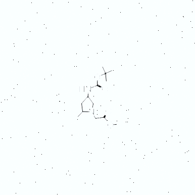 COC(=O)CN1CC(NC(=O)OC(C)(C)C)CC1C